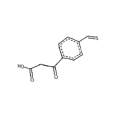 O=C(O)CC(=O)c1ccc(C=S)cc1